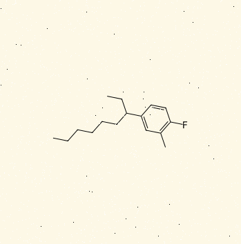 CCCCCCC(CC)c1ccc(F)c(C)c1